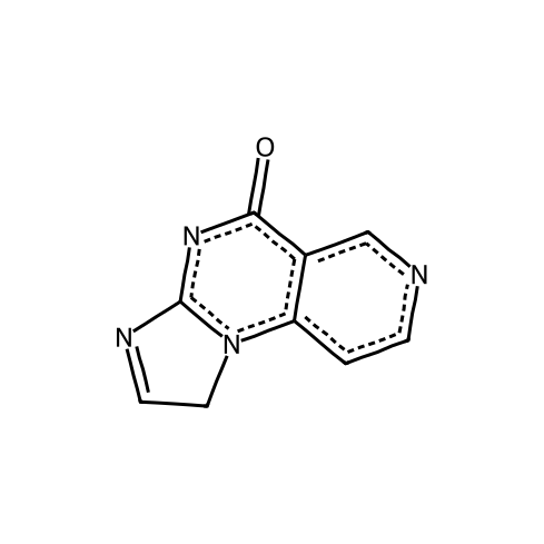 O=c1nc2n(c3ccncc13)CC=N2